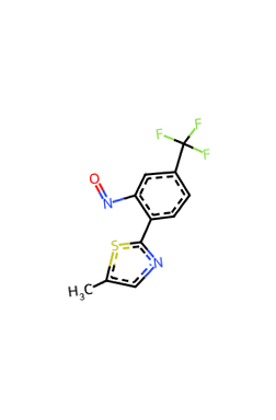 Cc1cnc(-c2ccc(C(F)(F)F)cc2N=O)s1